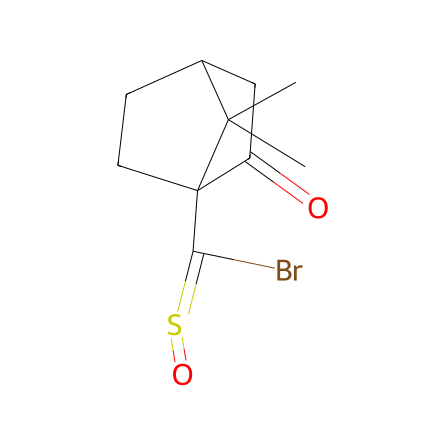 CC1(C)C2CCC1(C(Br)=S=O)C(=O)C2